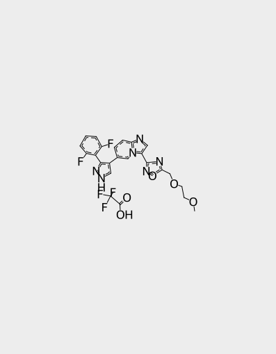 COCCOCc1nc(-c2cnc3ccc(-c4c[nH]nc4-c4c(F)cccc4F)cn23)no1.O=C(O)C(F)(F)F